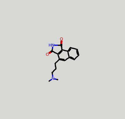 CN(C)CCCc1cc2ccccc2c2c1C(=O)NC2=O